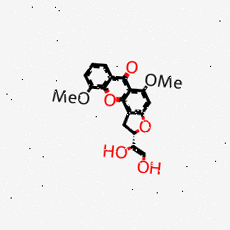 COc1cccc2c(=O)c3c(OC)cc4c(c3oc12)C[C@@H](/C(O)=C/O)O4